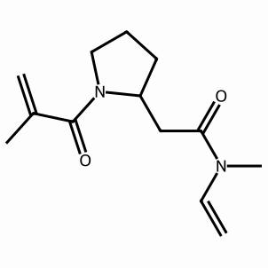 C=CN(C)C(=O)CC1CCCN1C(=O)C(=C)C